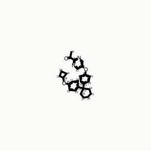 CC(=O)c1ncc(Oc2ccc(C3(c4ccc(OC5CCC5)cc4)CCCCC3)cc2)cn1